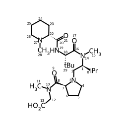 CC(C)[C@@H](CN1CCC[C@H]1C(=O)N(C)CC(=O)O)N(C)C(=O)[C@@H](NC(=O)[C@H]1CCCCN1C)C(C)(C)C